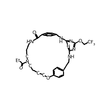 CCC(=O)N1CCCCOc2ccc(cc2)CNc2nc(nc(OCC(F)(F)F)n2)Nc2ccc(cc2)C(=O)NCCC1